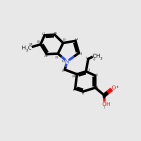 CCc1cc(C(=O)O)ccc1CN1C=CC2C=CC(C)=CC21